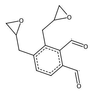 O=[C]c1ccc(CC2CO2)c(CC2CO2)c1[C]=O